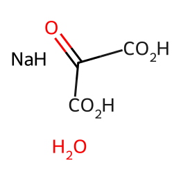 O.O=C(O)C(=O)C(=O)O.[NaH]